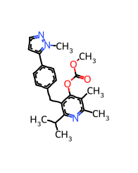 COC(=O)Oc1c(C)c(C)nc(C(C)C)c1Cc1ccc(-c2ccnn2C)cc1